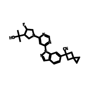 CC(C)(O)C1CN(c2cc(-n3ncc4ccc(C5(C#N)CC6(CC6)C5)cc43)ncn2)CC1F